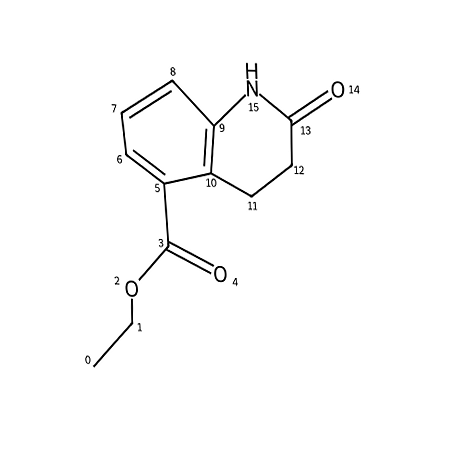 CCOC(=O)c1cccc2c1CCC(=O)N2